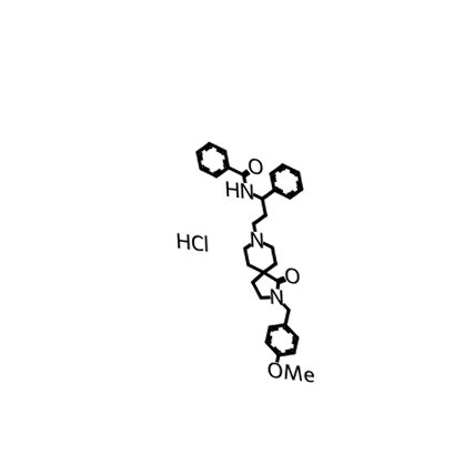 COc1ccc(CN2CCC3(CCN(CCC(NC(=O)c4ccccc4)c4ccccc4)CC3)C2=O)cc1.Cl